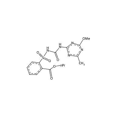 CCCOC(=O)c1ccccc1S(=O)(=O)NC(=O)Nc1nc(C)nc(OC)n1